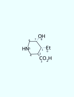 CC[C@@H]1C(C(=O)O)CNC[C@@H]1O